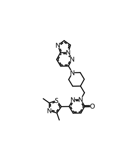 Cc1nc(C)c(-c2ccc(=O)n(CC3CCN(c4ccc5nccn5n4)CC3)n2)s1